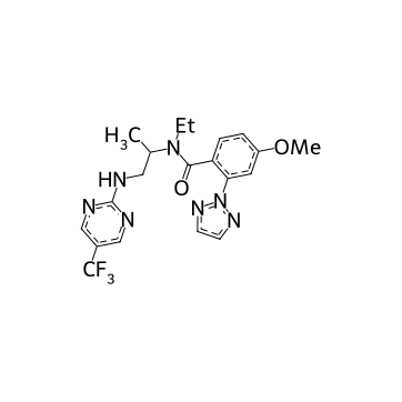 CCN(C(=O)c1ccc(OC)cc1-n1nccn1)C(C)CNc1ncc(C(F)(F)F)cn1